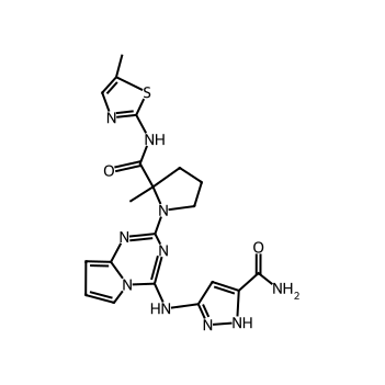 Cc1cnc(NC(=O)C2(C)CCCN2c2nc(Nc3cc(C(N)=O)[nH]n3)n3cccc3n2)s1